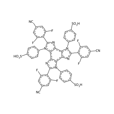 N#Cc1cc(F)c(-c2nc3c(c4nc(-c5c(F)cc(C#N)cc5F)n(-c5ccc(S(=O)(=O)O)cc5)c4c4nc(-c5c(F)cc(C#N)cc5F)n(-c5ccc(S(=O)(=O)O)cc5)c34)n2-c2ccc(S(=O)(=O)O)cc2)c(F)c1